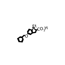 CCN1c2ccc(OCc3ccccc3)cc2CC1C(=O)O